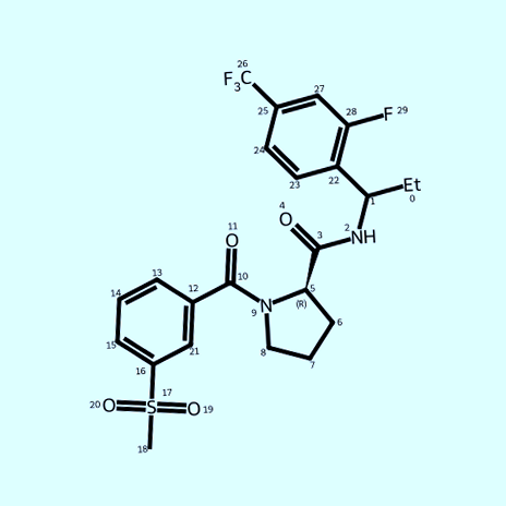 CCC(NC(=O)[C@H]1CCCN1C(=O)c1cccc(S(C)(=O)=O)c1)c1ccc(C(F)(F)F)cc1F